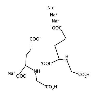 O=C([O-])CCC(NCC(=O)O)C(=O)[O-].O=C([O-])CCC(NCC(=O)O)C(=O)[O-].[Na+].[Na+].[Na+].[Na+]